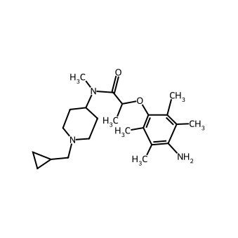 Cc1c(C)c(OC(C)C(=O)N(C)C2CCN(CC3CC3)CC2)c(C)c(C)c1N